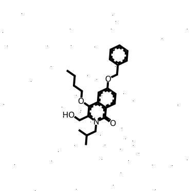 CCCCOc1c(CO)n(CC(C)C)c(=O)c2ccc(OCc3ccccc3)cc12